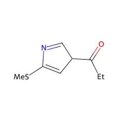 CCC(=O)C1C=NC(SC)=C1